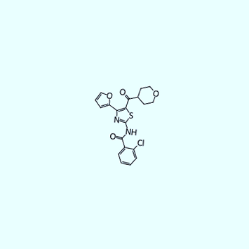 O=C(Nc1nc(-c2ccco2)c(C(=O)C2CCOCC2)s1)c1ccccc1Cl